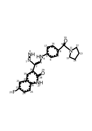 N=N/C(=C\Nc1ccc(C(=O)N2CCCC2)cc1)c1cc2cc(F)ccc2[nH]c1=O